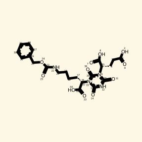 O=C(O)CC[C@@H](C(=O)O)n1c(=O)[nH]c(=O)n([C@@H](CCCCNC(=O)OCc2ccccc2)C(=O)O)c1=O